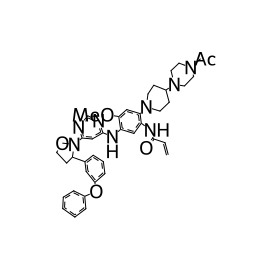 C=CC(=O)Nc1cc(Nc2cc(N3OCCC3c3cccc(Oc4ccccc4)c3)ncn2)c(OC)cc1N1CCC(N2CCN(C(C)=O)CC2)CC1